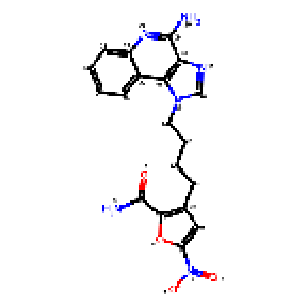 NC(=O)c1oc([N+](=O)[O-])cc1CCCCn1cnc2c(N)nc3ccccc3c21